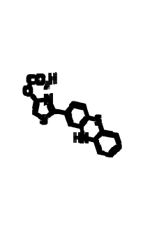 O=C(O)Oc1csc(-c2ccc3c(c2)Nc2ccccc2S3)n1